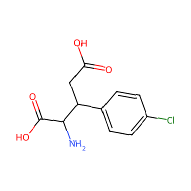 NC(C(=O)O)C(CC(=O)O)c1ccc(Cl)cc1